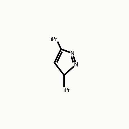 CC(C)C1=CC(C(C)C)N=N1